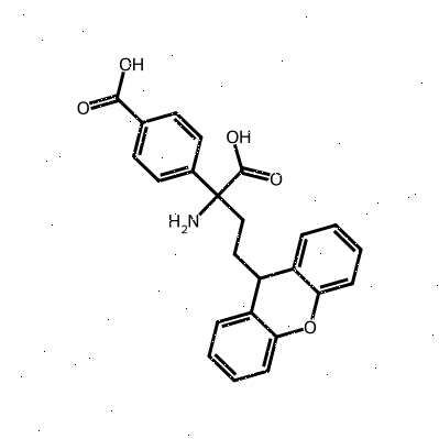 NC(CCC1c2ccccc2Oc2ccccc21)(C(=O)O)c1ccc(C(=O)O)cc1